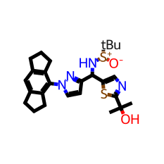 CC(C)(O)c1ncc(C(N[S+]([O-])C(C)(C)C)c2ccn(-c3c4c(cc5c3CCC5)CCC4)n2)s1